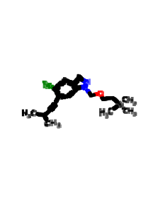 CC(C)C#Cc1cc2c(cnn2COCC[Si](C)(C)C)cc1Br